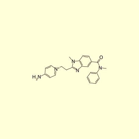 CN(C(=O)c1ccc2c(c1)nc(CC[n+]1ccc(N)cc1)n2C)c1ccccc1